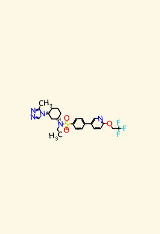 CCN([C@H]1CCC[C@@H](n2cnnc2C)C1)S(=O)(=O)c1ccc(-c2ccc(OCC(F)(F)F)nc2)cc1